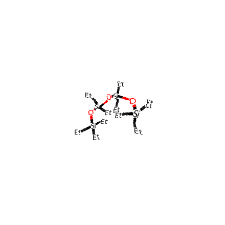 CC[Si](CC)(CC)O[Si](CC)(CC)O[Si](CC)(CC)O[Si](CC)(CC)CC